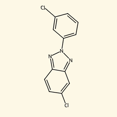 Clc1cccc(-n2nc3ccc(Cl)cc3n2)c1